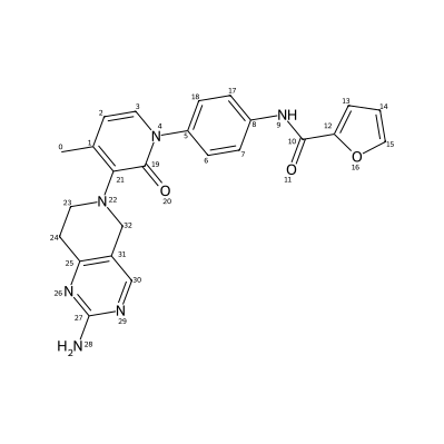 Cc1ccn(-c2ccc(NC(=O)c3ccco3)cc2)c(=O)c1N1CCc2nc(N)ncc2C1